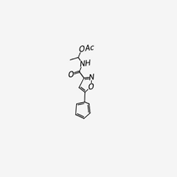 CC(=O)OC(C)NC(=O)c1cc(-c2ccccc2)on1